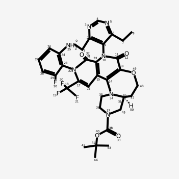 CCc1ncnc(CC)c1-n1c(=O)c2c(c3cc(C(F)(F)F)n(-c4c(N)cccc4F)c(=O)c31)N1CCN(C(=O)OC(C)(C)C)C[C@@H]1CCO2